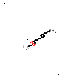 CCCCCc1ccc(CCCCC2COC(CCC)OC2)cc1